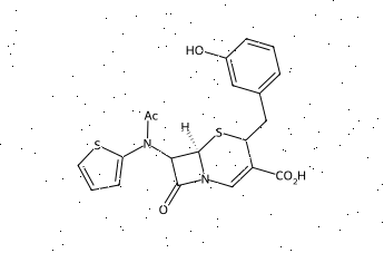 CC(=O)N(c1cccs1)C1C(=O)N2C=C(C(=O)O)C(Cc3cccc(O)c3)S[C@H]12